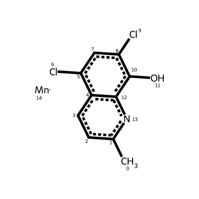 Cc1ccc2c(Cl)cc(Cl)c(O)c2n1.[Mn]